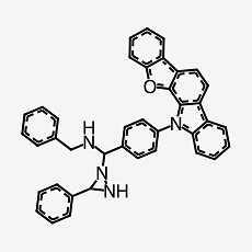 c1ccc(CNC(c2ccc(-n3c4ccccc4c4ccc5c6ccccc6oc5c43)cc2)N2NC2c2ccccc2)cc1